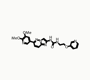 COc1cc(-c2ccc3nc(NC(=O)NCCOc4cccnc4)cn3n2)cnc1OC